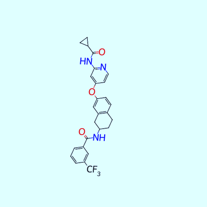 O=C(NC1CCc2ccc(Oc3ccnc(NC(=O)C4CC4)c3)cc2C1)c1cccc(C(F)(F)F)c1